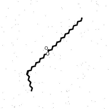 CCCCCC/C=C\CCCCCCCCOC(=O)CCCCCCCCCCCCCCCC